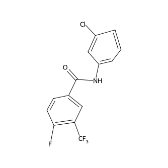 O=C(Nc1cccc(Cl)c1)c1ccc(F)c(C(F)(F)F)c1